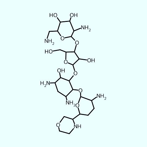 NCC1OC(OC2C(CO)OC(OC3C(O)C(N)CC(N)C3OC3OC(C4COCCN4)CCC3N)C2O)C(N)C(O)C1O